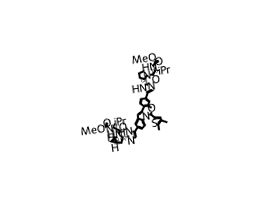 COC(=O)N[C@H](C(=O)N1CCC[C@H]1c1ncc(-c2ccc3c(c2)OC(c2cc(C)c(C)s2)n2c-3cc3cc(-c4cnc([C@@H]5C[C@H]6C[C@H]6N5C(=O)[C@@H](NC(=O)OC)C(C)C)[nH]4)ccc32)[nH]1)C(C)C